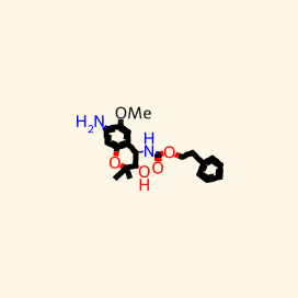 COc1cc2c(cc1N)OC(C)(C)[C@H](O)[C@H]2NC(=O)OCCc1ccccc1